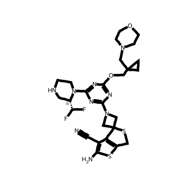 N#Cc1c(N)sc2c1C1(CN(c3nc(OCC4(CN5CCOCC5)CC4)nc(N4CCNC[C@H]4C(F)F)n3)C1)SC2